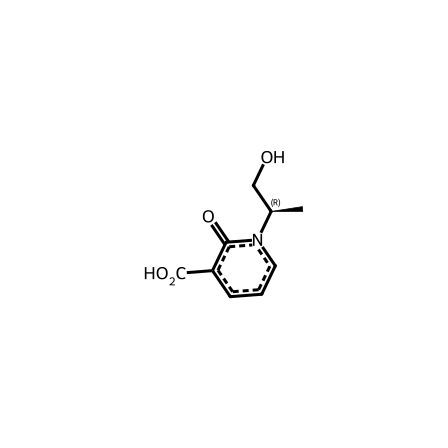 C[C@H](CO)n1cccc(C(=O)O)c1=O